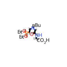 CCCCN(CCP(OCC)OCC)CC(=O)NCC(=O)O